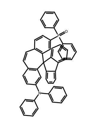 O=P(c1ccccc1)(c1ccccc1)c1ccc2c(c1)C1(c3cc(N(c4ccccc4)c4ccccc4)ccc3C=C2)c2ccccc2-c2ccccc21